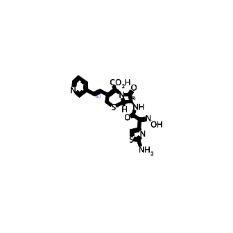 Nc1nc(C(=NO)C(=O)N[C@@H]2C(=O)N3C(C(=O)O)=C(/C=C/c4cccnc4)CS[C@@H]23)cs1